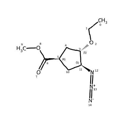 CCO[C@H]1C[C@H](C(=O)OC)C[C@@H]1N=[N+]=[N-]